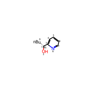 CCCC[C@@H](O)c1ccccn1